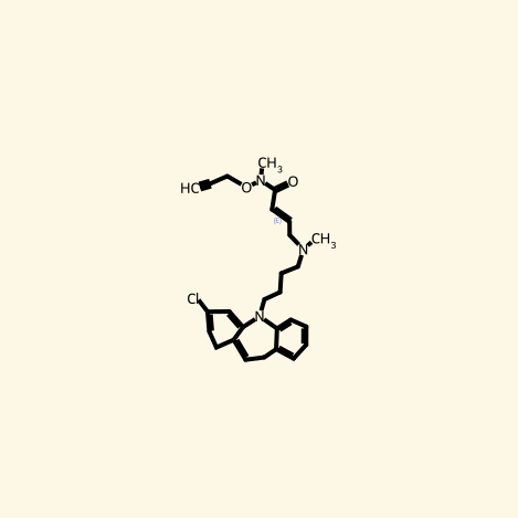 C#CCON(C)C(=O)/C=C/CN(C)CCCCN1C2=CC(Cl)=CCC2=CCc2ccccc21